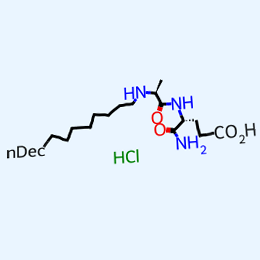 CCCCCCCCCCCCCCCCCCN[C@@H](C)C(=O)N[C@H](CCC(=O)O)C(N)=O.Cl